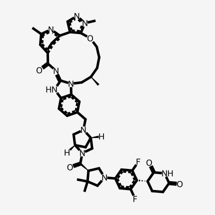 Cc1cc2cc(n1)-c1cnn(C)c1OCCC[C@@H](C)CN1/C(=N/C2=O)Nc2ccc(CN3C[C@@H]4C[C@H]3CN4C(=O)[C@H]3CN(c4cc(F)c([C@H]5CCC(=O)NC5=O)c(F)c4)CC3(C)C)cc21